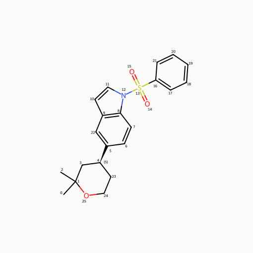 CC1(C)C[C@@H](c2ccc3c(ccn3S(=O)(=O)c3ccccc3)c2)CCO1